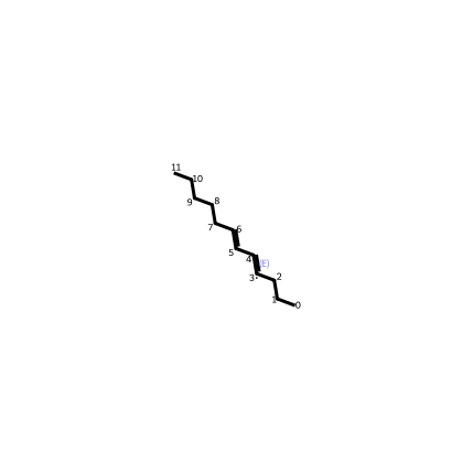 CCC/[C]=C/C=CCCCCC